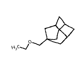 CCOCC12CC3CC4CC(C1)C43C2